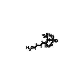 C=CCCCCN(C=S)P(=O)(OCC)SC(C)CC